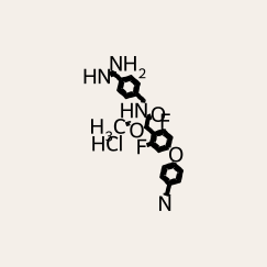 CCO[C@H](C(=O)NCc1ccc(C(=N)N)cc1)c1c(F)cc(Oc2ccc(C#N)cc2)cc1F.Cl